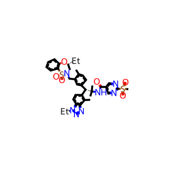 CC[C@@H]1CN(Cc2cc([C@@H](c3ccc4c(nnn4CC)c3C)C(C)(C)NC(=O)c3cnc(S(C)(=O)=O)nc3)ccc2C)S(=O)(=O)c2ccccc2O1